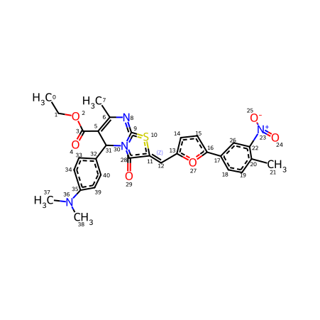 CCOC(=O)C1=C(C)N=c2s/c(=C\c3ccc(-c4ccc(C)c([N+](=O)[O-])c4)o3)c(=O)n2C1c1ccc(N(C)C)cc1